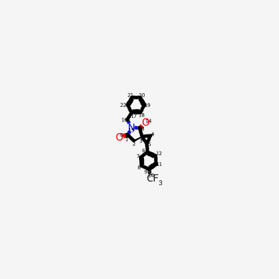 O=C1C[C@]2(CC2c2ccc(C(F)(F)F)cc2)C(=O)N1Cc1ccccc1